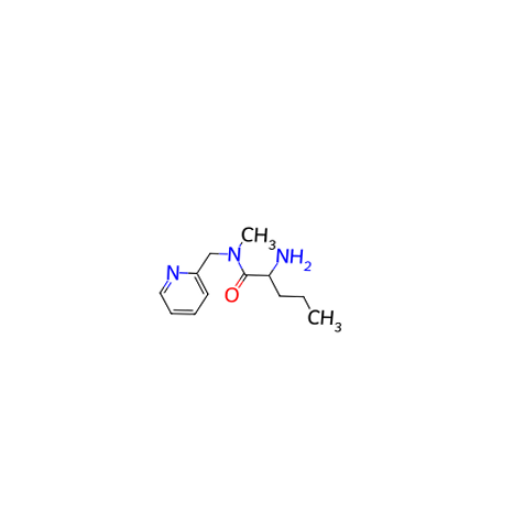 CCCC(N)C(=O)N(C)Cc1ccccn1